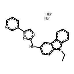 Br.Br.CCn1c2ccccc2c2cc(Nc3nc(-c4cccnc4)cs3)ccc21